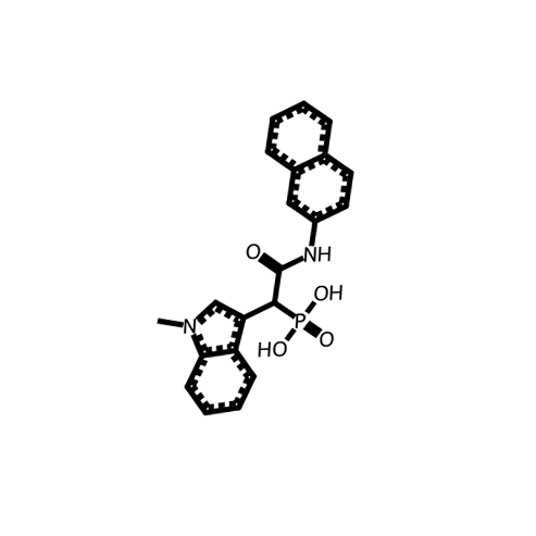 Cn1cc(C(C(=O)Nc2ccc3ccccc3c2)P(=O)(O)O)c2ccccc21